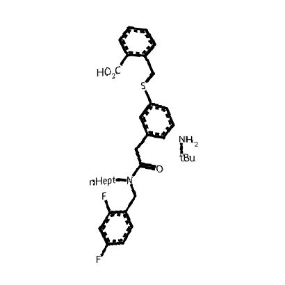 CC(C)(C)N.CCCCCCCN(Cc1ccc(F)cc1F)C(=O)Cc1cccc(SCc2ccccc2C(=O)O)c1